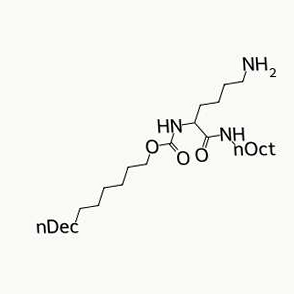 CCCCCCCCCCCCCCCCOC(=O)NC(CCCCN)C(=O)NCCCCCCCC